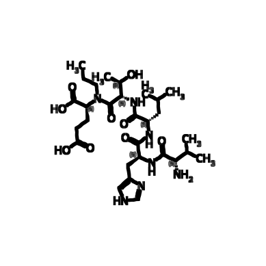 CCCN(C(=O)[C@@H](NC(=O)[C@H](CC(C)C)NC(=O)[C@H](Cc1c[nH]cn1)NC(=O)[C@@H](N)C(C)C)[C@@H](C)O)[C@@H](CCC(=O)O)C(=O)O